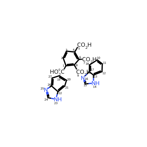 O=C(O)c1ccc(C(=O)O)c(C(=O)O)c1C(=O)O.c1ccc2[nH]cnc2c1.c1ccc2[nH]cnc2c1